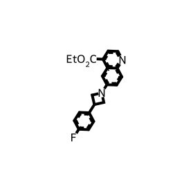 CCOC(=O)c1ccnc2ccc(N3CC(c4ccc(F)cc4)C3)cc12